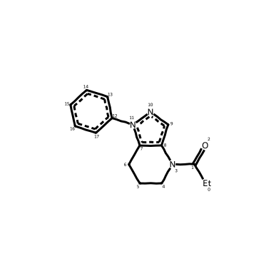 CCC(=O)N1CCCc2c1cnn2-c1ccccc1